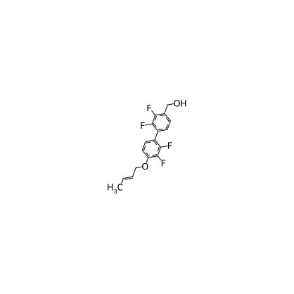 CC=CCOc1ccc(-c2ccc(CO)c(F)c2F)c(F)c1F